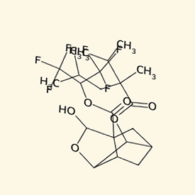 CC(C)CC(C)(C(=O)OC1C2CC3C1OC(O)C3(C(=O)OC(C(F)(F)F)C(F)(F)F)C2)C(C)C